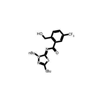 CCCCn1nc(C(C)(C)C)sc1=NC(=O)c1cc(C(F)(F)F)ccc1CO